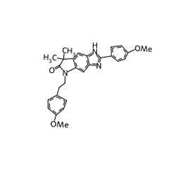 COc1ccc(CCN2C(=O)C(C)(C)c3cc4[nH]c(-c5ccc(OC)cc5)nc4cc32)cc1